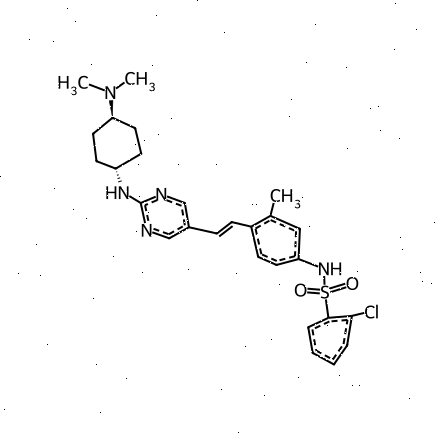 Cc1cc(NS(=O)(=O)c2ccccc2Cl)ccc1/C=C/c1cnc(N[C@H]2CC[C@H](N(C)C)CC2)nc1